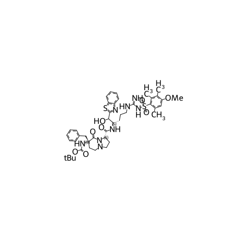 COc1cc(C)c(S(=O)(=O)NC(=N)NCCC[C@H](NC(=O)[C@@H]2CCN3CC[C@](Cc4ccccc4)(NC(=O)OC(C)(C)C)C(=O)N23)C(O)c2nc3ccccc3s2)c(C)c1C